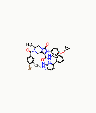 C[C@H]1Cn2c(c(C(=O)NCc3c(F)cccc3-c3cccc(N)n3)n(-c3ccc(OC4CC4)cc3)c2=O)CN1C(=O)c1ccc(Br)c(C(F)(F)F)c1